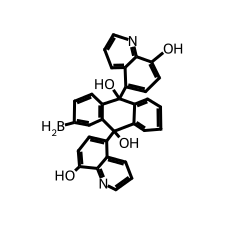 Bc1ccc2c(c1)C(O)(c1ccc(O)c3ncccc13)c1ccccc1C2(O)c1ccc(O)c2ncccc12